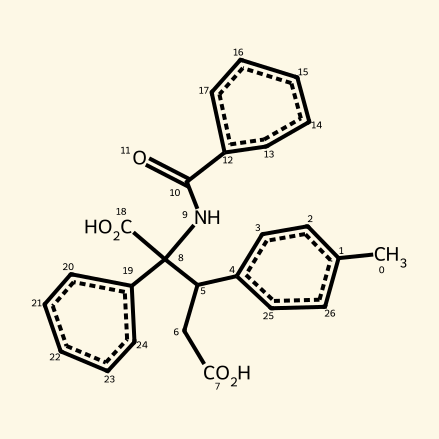 Cc1ccc(C(CC(=O)O)C(NC(=O)c2ccccc2)(C(=O)O)c2ccccc2)cc1